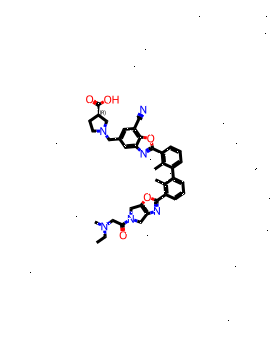 CCN(C)CC(=O)N1Cc2nc(-c3cccc(-c4cccc(-c5nc6cc(CN7CC[C@@H](C(=O)O)C7)cc(C#N)c6o5)c4C)c3C)oc2C1